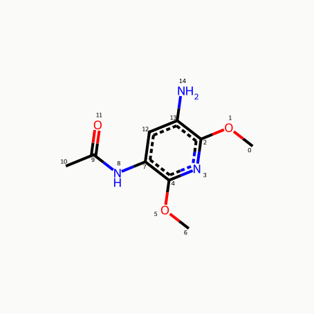 COc1nc(OC)c(NC(C)=O)cc1N